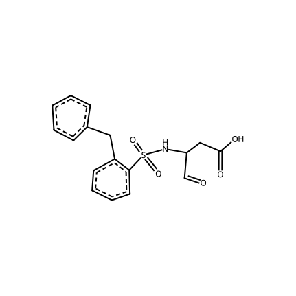 O=CC(CC(=O)O)NS(=O)(=O)c1ccccc1Cc1ccccc1